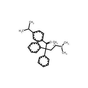 CC(C)c1ccc(C(=O)C(C[C@H](C)N(C)C)(c2ccccc2)c2ccccc2)cc1